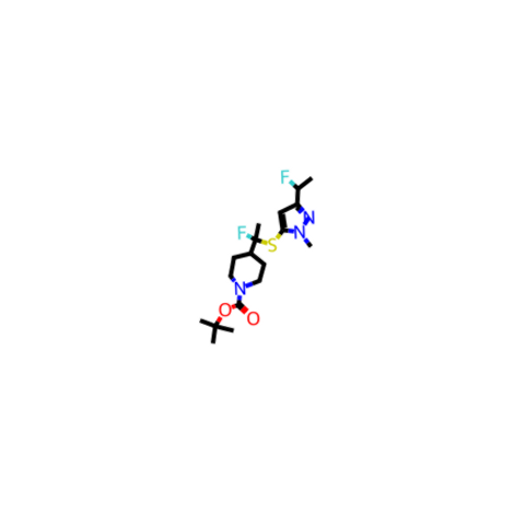 CC(F)c1cc(SC(C)(F)C2CCN(C(=O)OC(C)(C)C)CC2)n(C)n1